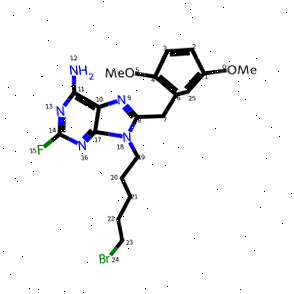 COc1ccc(OC)c(Cc2nc3c(N)nc(F)nc3n2CCCCCBr)c1